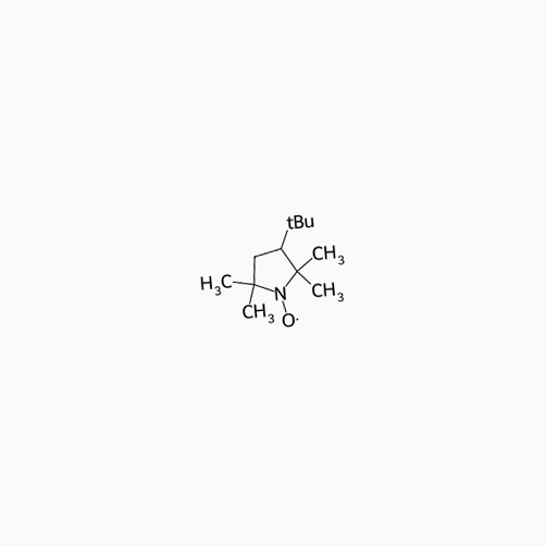 CC(C)(C)C1CC(C)(C)N([O])C1(C)C